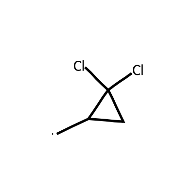 [CH2]C1CC1(Cl)Cl